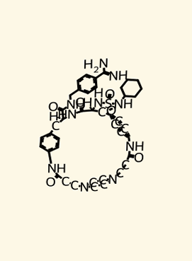 N=C(N)c1ccc(CNC(=O)[C@@H]2Cc3ccc(cc3)NC(=O)CCN3CCN(CCC(=O)Nc4ccc(cc4)C[C@@H](NS(=O)(=O)NC4CCCCC4)C(=O)N2)CC3)cc1